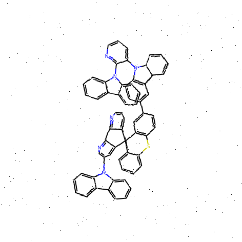 C1=CC2c3cc(-c4ccc5c(c4)C4(c6ccccc6S5)c5cccnc5-c5ncc(-n6c7ccccc7c7ccccc76)cc54)ccc3N(c3cccnc3-n3c4ccccc4c4ccccc43)C2C=C1